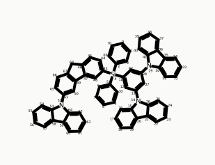 c1ccc([Si](c2ccccc2)(c2cc(-n3c4ccccc4c4ccccc43)cc(-n3c4ccccc4c4ccccc43)c2)c2ccc3c(c2)-c2cc(-n4c5ccccc5c5ccccc54)ccc2C3)cc1